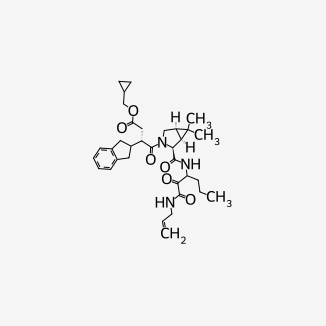 C=CCNC(=O)C(=O)C(CCC)NC(=O)[C@@H]1[C@H]2[C@@H](CN1C(=O)[C@@H](CC(=O)OCC1CC1)C1Cc3ccccc3C1)C2(C)C